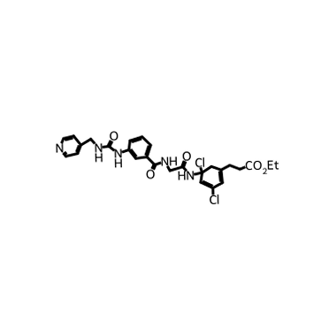 CCOC(=O)CCC1=CC(Cl)=CC(Cl)(NC(=O)CNC(=O)c2cccc(NC(=O)NCc3ccncc3)c2)C1